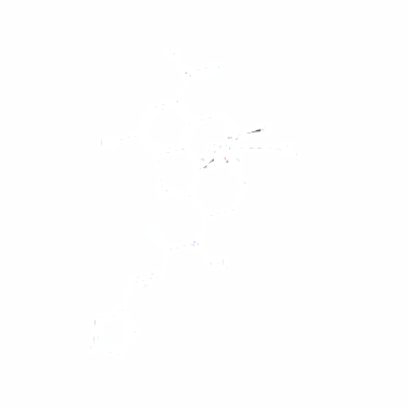 CN(C(=O)/C=C/c1ccoc1)C1CC[C@@]2(O)[C@H]3Cc4c([N+](=O)[O-])cc(O)c5c4[C@@]2(CCN3C)C1O5